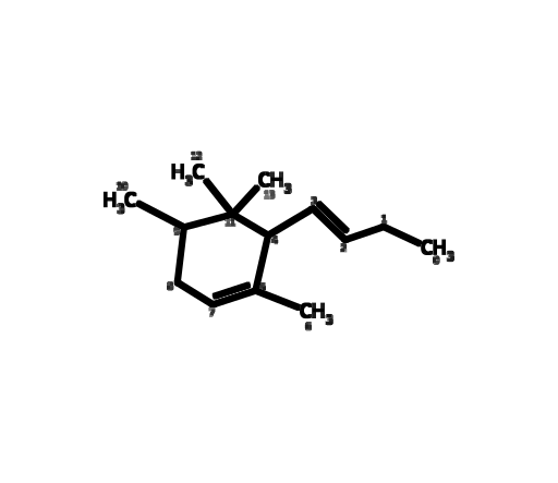 CCC=CC1C(C)=CCC(C)C1(C)C